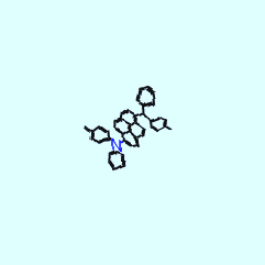 Cc1ccc(C(c2ccccc2)c2ccc3ccc4c(N(c5ccccc5)c5ccc(C)cc5)ccc5ccc2c3c54)cc1